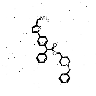 NCc1ccc(-c2ccc(C(C(=O)OCC3CCN(Cc4ccccc4)CC3)c3ccccc3)cc2)s1